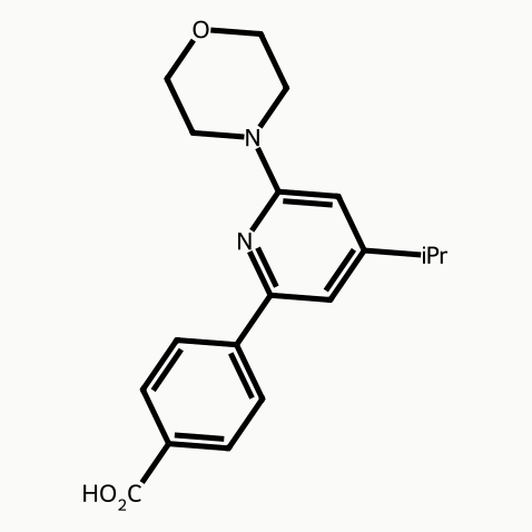 CC(C)c1cc(-c2ccc(C(=O)O)cc2)nc(N2CCOCC2)c1